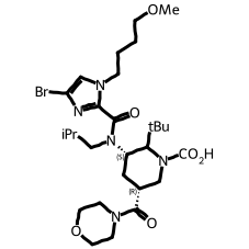 COCCCCn1cc(Br)nc1C(=O)N(CC(C)C)[C@H]1C[C@@H](C(=O)N2CCOCC2)CN(C(=O)O)C1C(C)(C)C